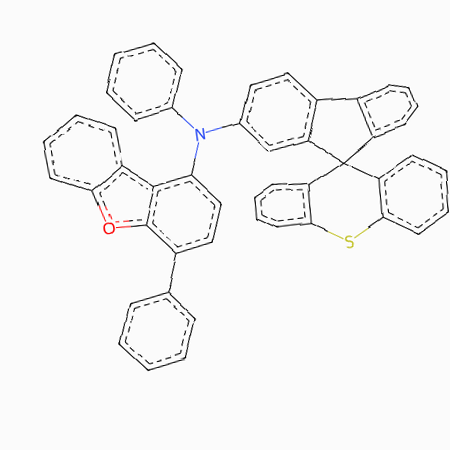 c1ccc(-c2ccc(N(c3ccccc3)c3ccc4c(c3)C3(c5ccccc5Sc5ccccc53)c3ccccc3-4)c3c2oc2ccccc23)cc1